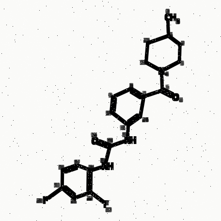 CC1CCN(C(=O)c2cccc(NC(=O)Nc3ccc(F)cc3F)c2)CC1